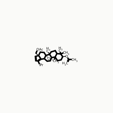 C=C(C)O[C@H]1CCC2(C)C(CC[C@]3(C)C2CCC2C4=C(C(C)C)C=C[C@]4(COC(C)=O)CC[C@]23C)C1(C)C